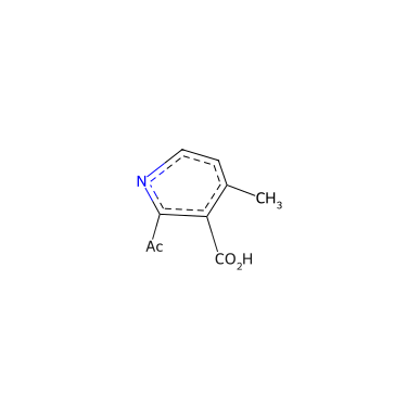 CC(=O)c1nccc(C)c1C(=O)O